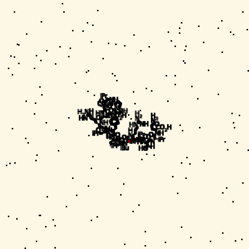 CC[C@H](C)[C@H](NC(=O)[C@H](CC(C)C)NC(=O)[C@H](Cc1ccccc1)NC(=O)[C@H](CC(C)C)NC(=O)[C@H](CCCNC(=N)N)NC(=O)[C@H](CCC(=O)O)NC(=O)[C@H](CC(=O)O)NC(=O)[C@@H](NC(=O)[C@@H]1CCCN1C(=O)[C@@H](N)[C@@H](C)O)C(C)C)C(=O)N[C@H](C(=O)N[C@@H](CCCNC(=N)N)C(=O)N[C@H](C(=O)N[C@H](C(=O)N[C@H](C(=O)N[C@@H](CCC(N)=O)C(=O)O)C(C)C)[C@@H](C)O)C(C)C)C(C)C